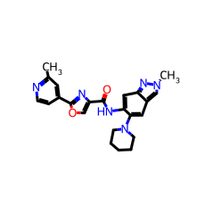 Cc1cc(-c2nc(C(=O)Nc3cc4nn(C)cc4cc3N3CCCCC3)co2)ccn1